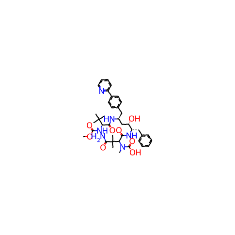 COC(=O)N[C@H](C(=O)N[C@@H](Cc1ccc(-c2ccccn2)cc1)C[C@H](O)[C@H](Cc1ccccc1)NC(=O)[C@@H](N(C)C(=O)O)C(C)(C)C(N)=O)C(C)(C)C